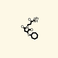 CCCNC(=O)CCN1C(=O)CC(SC2CCCCCC2)C1=O